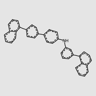 c1cc(Nc2ccc(-c3ccc(-c4cccc5ccccc45)cc3)cc2)cc(-c2cccc3ccccc23)c1